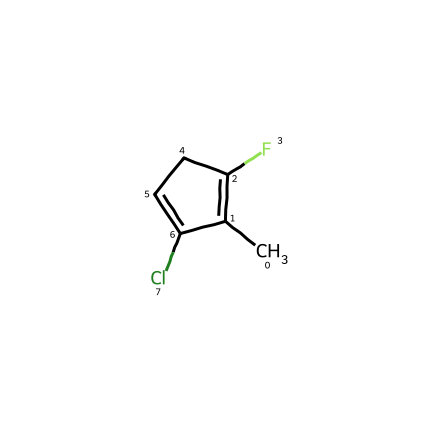 CC1=C(F)CC=C1Cl